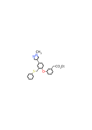 CCOC(=O)Cc1cccc(Oc2ccc(-c3cnn(C)c3)cc2CSc2ccccc2)c1